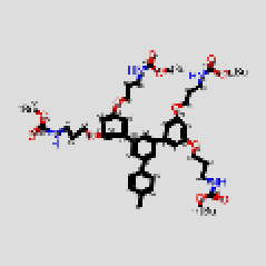 Cc1ccc(-c2cc(-c3cc(OCCCNC(=O)OC(C)(C)C)cc(OCCCNC(=O)OC(C)(C)C)c3)cc(-c3cc(OCCCNC(=O)OC(C)(C)C)cc(OCCCNC(=O)OC(C)(C)C)c3)c2)cc1